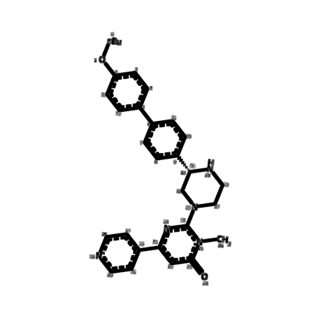 CCCCOc1ccc(-c2ccc([C@H]3CN(c4nc(-c5ccncc5)cc(=O)n4C)CCN3)cc2)cc1